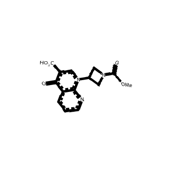 COC(=O)N1CC(n2cc(C(=O)O)c(=O)c3cccnc32)C1